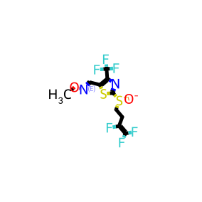 CO/N=C/c1sc([S+]([O-])CCC(F)=C(F)F)nc1C(F)(F)F